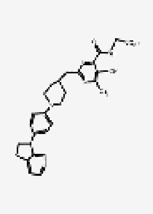 Cc1nc(CC2CCN(c3ccc(C4CSc5ccccc54)cc3)CC2)nc(C(=O)NCC(=O)O)c1O